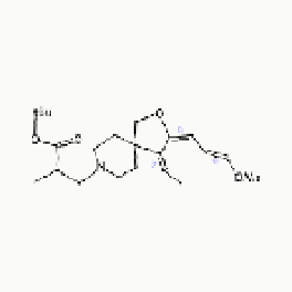 C\C=C1/C(=C\C=C\OC)OCC12CCN(CC(C)C(=O)OC(C)(C)C)CC2